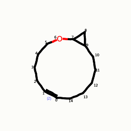 C1=C\CCCCOC2CC2CCCCC/1